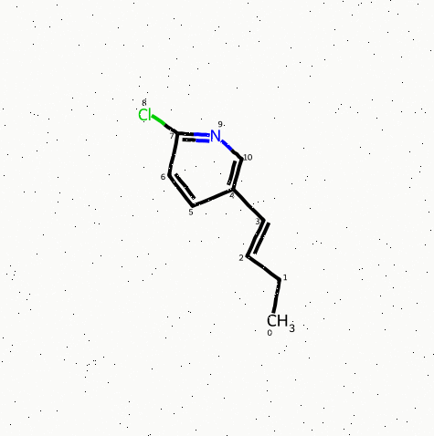 CCC=Cc1ccc(Cl)nc1